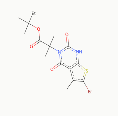 CCC(C)(C)OC(=O)C(C)(C)n1c(=O)[nH]c2sc(Br)c(C)c2c1=O